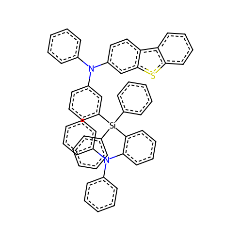 c1ccc(N(c2cccc([Si](c3ccccc3)(c3ccccc3)c3ccccc3N(c3ccccc3)c3ccccc3)c2)c2ccc3c(c2)sc2ccccc23)cc1